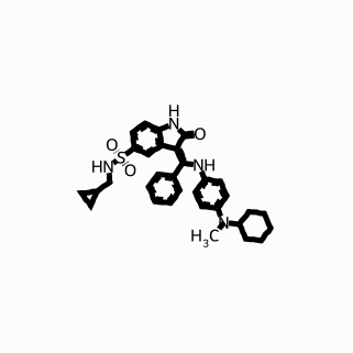 CN(c1ccc(N/C(=C2\C(=O)Nc3ccc(S(=O)(=O)NCC4CC4)cc32)c2ccccc2)cc1)C1CCCCC1